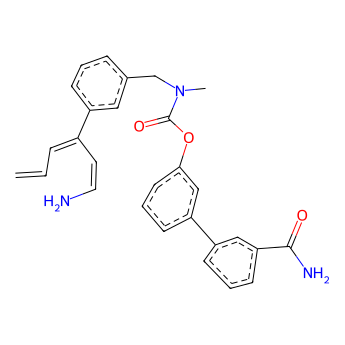 C=C/C=C(\C=C/N)c1cccc(CN(C)C(=O)Oc2cccc(-c3cccc(C(N)=O)c3)c2)c1